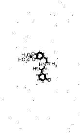 C[C@H](Cc1ccc2c(c1)OC(C)(C(=O)O)O2)NC[C@H](O)c1cccc(Cl)c1